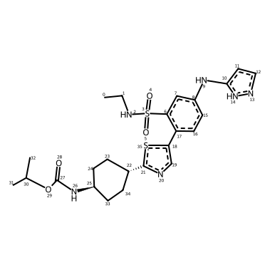 CCNS(=O)(=O)c1cc(Nc2ccn[nH]2)ccc1-c1cnc([C@H]2CC[C@H](NC(=O)OC(C)C)CC2)s1